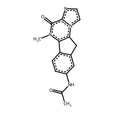 CC(=O)Nc1ccc2c(c1)Cc1c-2n(C)c(=O)c2nccn12